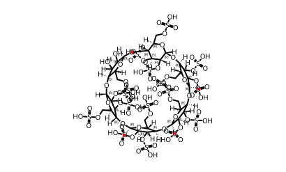 O=S(=O)(O)OC[C@H]1O[C@@H]2O[C@H]3[C@H](OS(=O)(=O)O)[C@@H](OS(=O)(=O)O)[C@@H](O[C@H]4[C@H](OS(=O)(=O)O)[C@@H](OS(=O)(=O)O)[C@@H](O[C@H]5[C@H](OS(=O)(=O)O)[C@@H](OS(=O)(=O)O)[C@@H](O[C@H]6[C@H](OS(=O)(=O)O)[C@@H](OS(=O)(=O)O)[C@@H](O[C@H]7[C@H](OS(=O)(=O)O)[C@@H](OS(=O)(=O)O)[C@@H](O[C@H]1[C@H](O)[C@H]2O)O[C@@H]7COS(=O)(=O)O)O[C@@H]6COS(=O)(=O)O)O[C@@H]5COS(=O)(=O)O)O[C@@H]4COS(=O)(=O)O)O[C@@H]3COS(=O)(=O)O